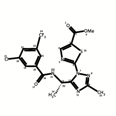 COC(=O)c1cnc(-n2nc(C)nc2[C@H](C)NC(=O)c2cc(Cl)cc(C(F)(F)F)c2)s1